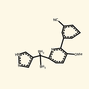 BC(B)(c1cn[nH]c1)c1ccc(OC)c(-c2cccc(C#N)c2)n1